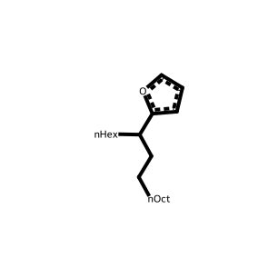 CCCCCCCCCCC(CCCCCC)c1ccco1